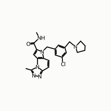 CNC(=O)c1cc2c(ccc3nnc(C)n32)n1Cc1cc(Cl)cc(CN2CCCC2)c1